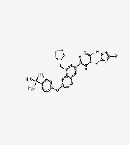 CC(C)(C)c1ccc(Oc2ccc3cc(C(=O)N[C@@H](Cc4ccc(Br)o4)C(=O)O)nc(CC4CCCC4)c3c2)cc1